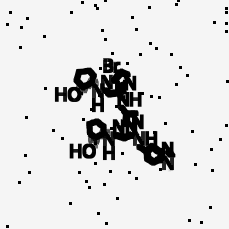 Cn1cnc2cc(CNc3cc(N[C@H]4CCCC[C@H]4CO)nc4c(CNc5cc(N[C@H]6CCCC[C@H]6CO)nc6c(Br)cnn56)cnn34)ccc21